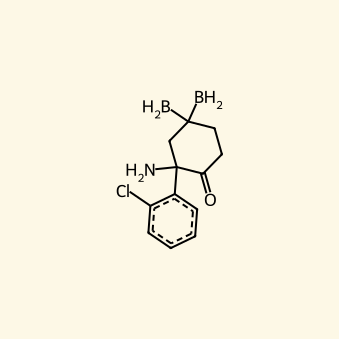 BC1(B)CCC(=O)C(N)(c2ccccc2Cl)C1